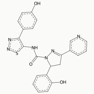 O=C(Nc1snnc1-c1ccc(O)cc1)N1N=C(c2cccnc2)CC1c1ccccc1O